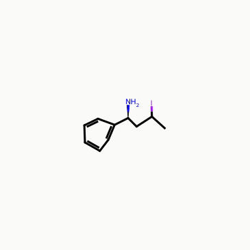 CC(I)C[C@H](N)c1ccccc1